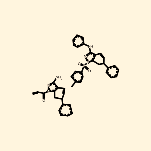 C=CC(=O)n1nc(N)c2c1CC(c1ccccc1)C=C2.Cc1ccc(S(=O)(=O)n2nc(Nc3ccccc3)c3c2CC(c2ccccc2)C=C3)cc1